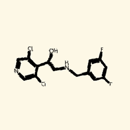 OC(CNCc1cc(F)cc(F)c1)c1c(Cl)cncc1Cl